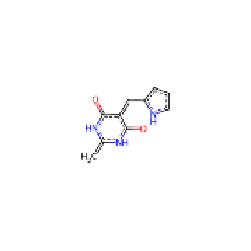 C=c1[nH]c(=O)c(=Cc2ccc[nH]2)c(=O)[nH]1